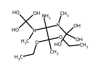 CCOC(C)(OCC)C(N)(N(C)C(O)(O)O)N(C)C(O)(O)O